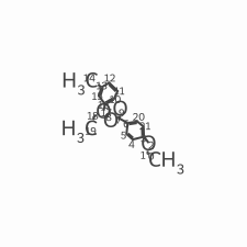 CCOc1ccc(C(=O)Oc2ccc(C)cc2OCC)cc1